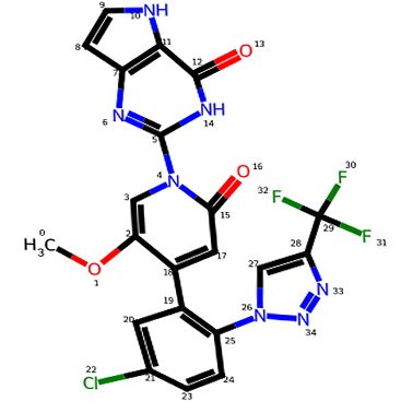 COc1cn(-c2nc3[c]c[nH]c3c(=O)[nH]2)c(=O)cc1-c1cc(Cl)ccc1-n1cc(C(F)(F)F)nn1